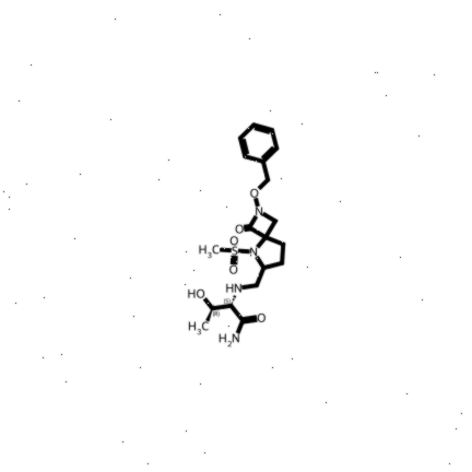 C[C@@H](O)[C@H](NCC1CCC2(CN(OCc3ccccc3)C2=O)N1S(C)(=O)=O)C(N)=O